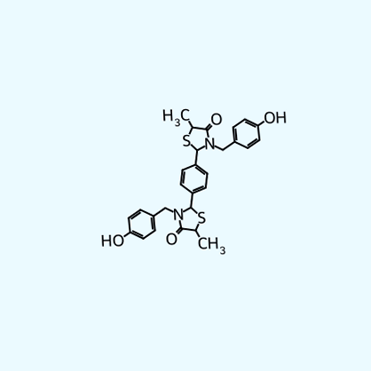 CC1SC(c2ccc(C3SC(C)C(=O)N3Cc3ccc(O)cc3)cc2)N(Cc2ccc(O)cc2)C1=O